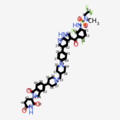 CN(CC(F)F)S(=O)(=O)Nc1ccc(F)c(C(=O)c2c[nH]c3ncc(-c4ccc(N5CCC(CN6CCC(c7ccc8c(c7)CN(C7CCC(=O)NC7=O)C8=O)CC6)CC5)cc4)cc23)c1F